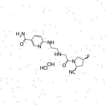 Cl.Cl.N#C[C@@H]1C[C@H](F)CN1C(=O)CNCCNc1ccc(C(N)=O)cn1